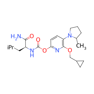 CC(C)C[C@H](NC(=O)Oc1ccc(N2CCCC2C)c(OCC2CC2)n1)C(N)=O